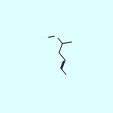 CCCCSC(C)CC=CC(C)=O